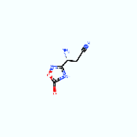 N#CC[C@@H](N)c1noc(=O)[nH]1